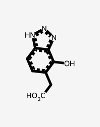 O=C(O)Cc1ccc2[nH]nnc2c1O